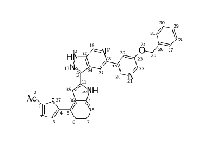 CC(=O)c1ccc(-c2cccc3[nH]c(-c4n[nH]c5cnc(-c6cncc(OCc7ccccc7)c6)cc45)cc23)s1